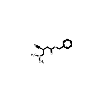 C[SiH](C)CC(C#N)CC(=O)OCc1ccccc1